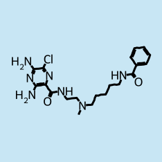 CN(CCCCCNC(=O)c1ccccc1)CCNC(=O)c1nc(Cl)c(N)nc1N